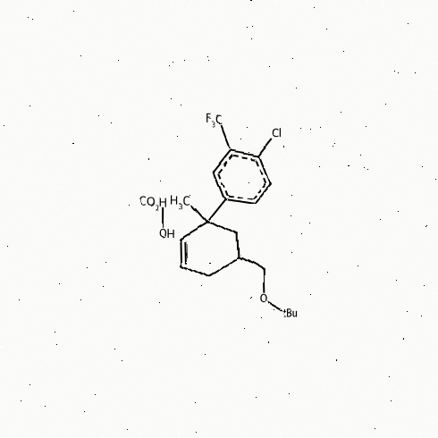 CC(C)(C)OCC1CC=CC(C)(c2ccc(Cl)c(C(F)(F)F)c2)C1.O=C(O)O